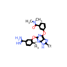 CCc1nc2c(Oc3cccc(C(=O)N(C)C)c3)nc(Oc3cc(C(=N)N)ccc3C)nc2[nH]1